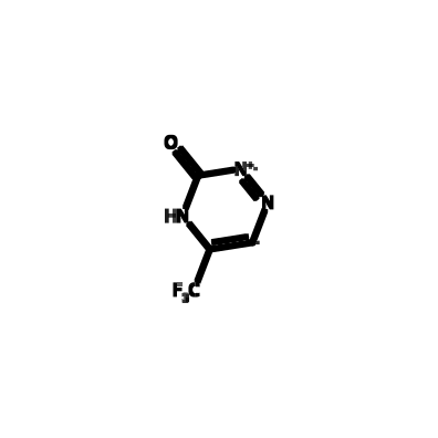 O=C1[N+]=N[C]=C(C(F)(F)F)N1